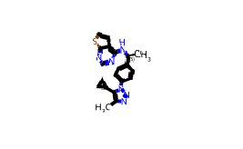 Cc1nnn(-c2ccc([C@H](C)Nc3ncnc4sccc34)cc2)c1C1CC1